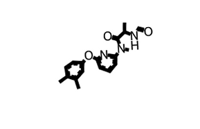 Cc1ccc(Oc2cccc(N(C)C(=O)C(C)NC=O)n2)cc1C